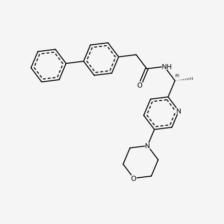 C[C@@H](NC(=O)Cc1ccc(-c2ccccc2)cc1)c1ccc(N2CCOCC2)cn1